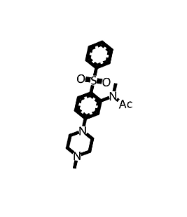 CC(=O)N(C)c1cc(N2CCN(C)CC2)ccc1S(=O)(=O)c1ccccc1